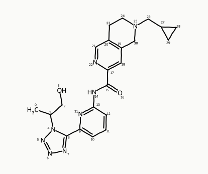 CC(CO)n1nnnc1-c1cccc(NC(=O)c2cc3c(cn2)CCN(CC2CC2)C3)n1